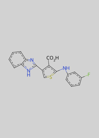 O=C(O)c1c(-c2nc3ccccc3[nH]2)csc1Nc1cccc(F)c1